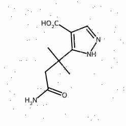 CC(C)(CC(N)=O)c1[nH]ncc1C(=O)O